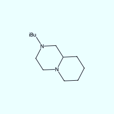 CCC(C)N1CCN2CCCCC2C1